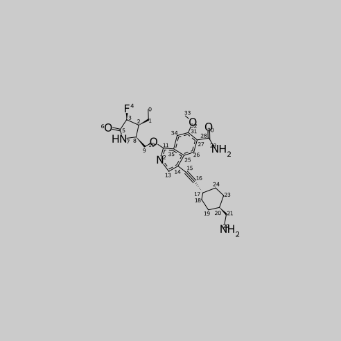 CC[C@@H]1[C@H](F)C(=O)N[C@@H]1COc1ncc(C#C[C@H]2CC[C@H](CN)CC2)c2cc(C(N)=O)c(OC)cc12